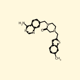 Cc1ccc2cc(CN3CCN(Cc4ccc5c(N)ncnc5c4)C(=O)C3)sc2c1